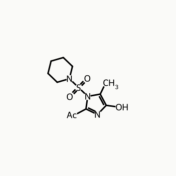 CC(=O)c1nc(O)c(C)n1S(=O)(=O)N1CCCCC1